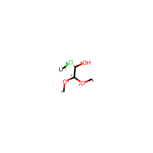 COC(CO)OC.[Li][Cl]